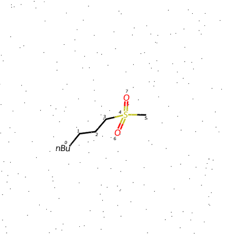 CCCCCC[CH]S(C)(=O)=O